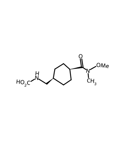 CON(C)C(=O)[C@H]1CC[C@@H](CNC(=O)O)CC1